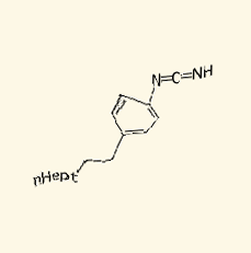 CCCCCCCCCc1ccc(N=C=N)cc1